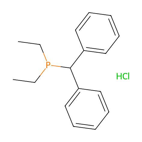 CCP(CC)C(c1ccccc1)c1ccccc1.Cl